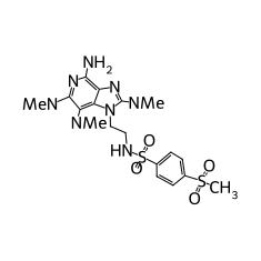 CNc1nc(N)c2nc(NC)n(CCNS(=O)(=O)c3ccc(S(C)(=O)=O)cc3)c2c1NC